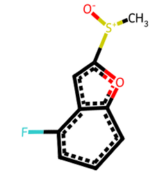 C[S+]([O-])c1cc2c(F)cccc2o1